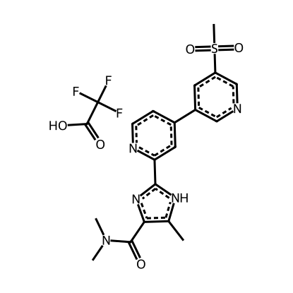 Cc1[nH]c(-c2cc(-c3cncc(S(C)(=O)=O)c3)ccn2)nc1C(=O)N(C)C.O=C(O)C(F)(F)F